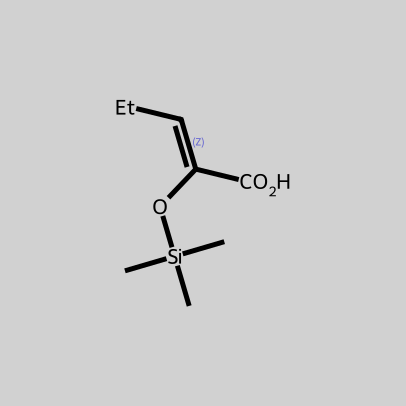 CC/C=C(\O[Si](C)(C)C)C(=O)O